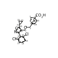 O=C(O)C12CCC(COCc3c(-c4c(Cl)cccc4Cl)noc3C3CC3)(CC1)CC2